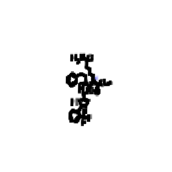 CCOC(=O)/C(=C/CCCC(N)=O)N(NC(=O)c1ccc(-c2ccccc2C(F)(F)F)[nH]1)C(=O)CCc1ccccc1